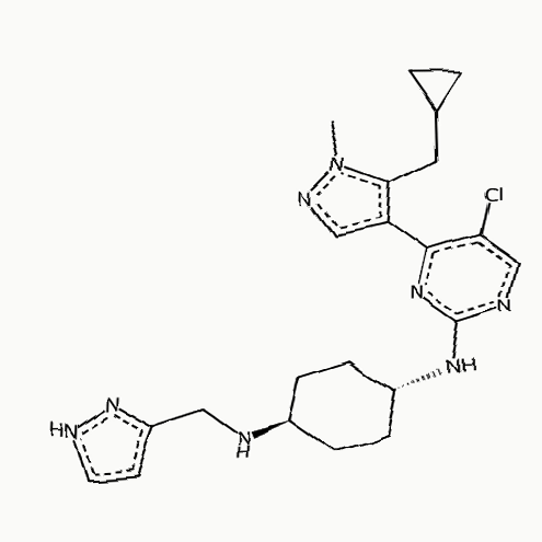 Cn1ncc(-c2nc(N[C@H]3CC[C@H](NCc4cc[nH]n4)CC3)ncc2Cl)c1CC1CC1